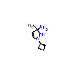 CC1(N)C=CN(C2CCC2)N1